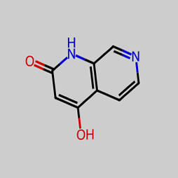 O=c1cc(O)c2ccncc2[nH]1